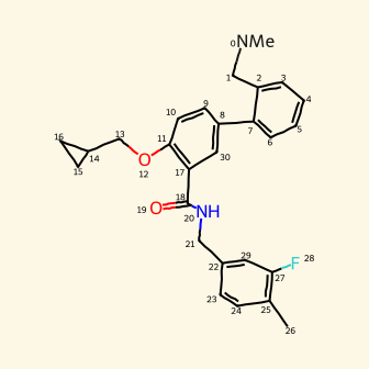 CNCc1ccccc1-c1ccc(OCC2CC2)c(C(=O)NCc2ccc(C)c(F)c2)c1